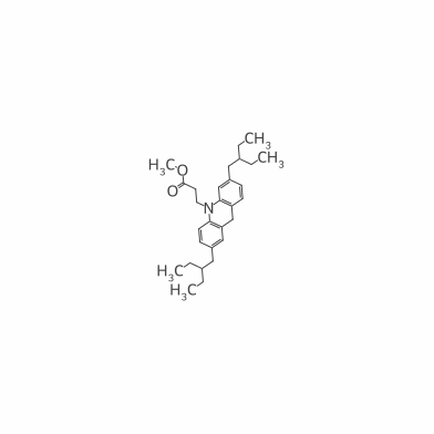 CCC(CC)Cc1ccc2c(c1)Cc1ccc(CC(CC)CC)cc1N2CCC(=O)OC